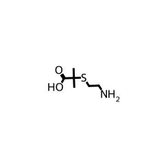 CC(C)(SCCN)C(=O)O